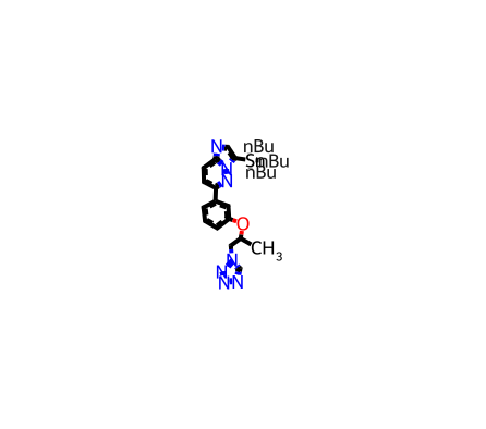 CCC[CH2][Sn]([CH2]CCC)([CH2]CCC)[c]1cnc2ccc(-c3cccc(OC(C)Cn4cnnn4)c3)nn12